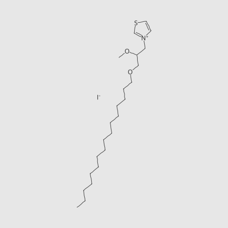 CCCCCCCCCCCCCCCCOCC(C[n+]1ccsc1)OC.[I-]